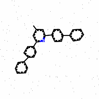 Cc1cc(-c2ccc(-c3ccccc3)cc2)nc(-c2ccc(-c3ccccc3)cc2)c1